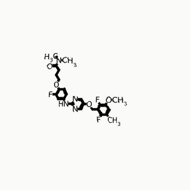 COc1cc(C)c(F)c(COc2cnc(Nc3ccc(OCCCC(=O)N(C)C)c(F)c3)nc2)c1F